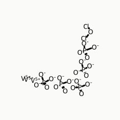 ClOCl.O=P([O-])([O-])[O-].O=P([O-])([O-])[O-].O=P([O-])([O-])[O-].O=P([O-])([O-])[O-].O=P([O-])([O-])[O-].[V+5].[V+5].[V+5]